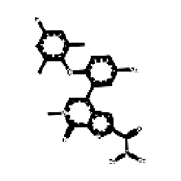 CCN(CC)C(=O)c1cc2c(-c3cc(C(C)=O)ccc3Oc3c(C)cc(F)cc3C)cn(C)c(=O)c2s1